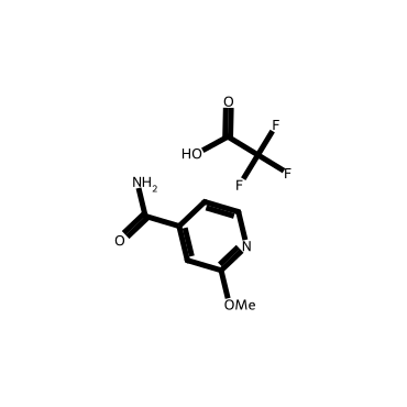 COc1cc(C(N)=O)ccn1.O=C(O)C(F)(F)F